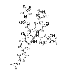 CC(C)(C)CCNC(=N)N(C(=O)c1ccc(-c2cnn(C3CC3)c2)cc1)[C@H](COC(=O)N1CC(F)(F)C1)c1ccc(Cl)c(-c2ncn[nH]2)c1